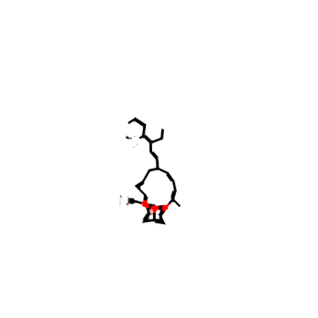 C\C=C/C(SC)=C(/C=C/C1/C=C\C=C(C)/C=C(C2=C\C=C\C=C(C#N)\C=C\2)\C=C\C=C\C1)CC